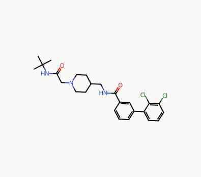 CC(C)(C)NC(=O)CN1CCC(CNC(=O)c2cccc(-c3cccc(Cl)c3Cl)c2)CC1